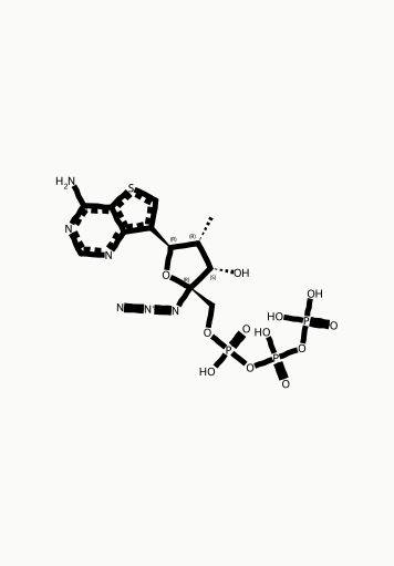 C[C@H]1[C@H](c2csc3c(N)ncnc23)O[C@@](COP(=O)(O)OP(=O)(O)OP(=O)(O)O)(N=[N+]=[N-])[C@H]1O